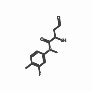 Cc1ccc(N(C)C(=O)C(S)CC=O)cc1F